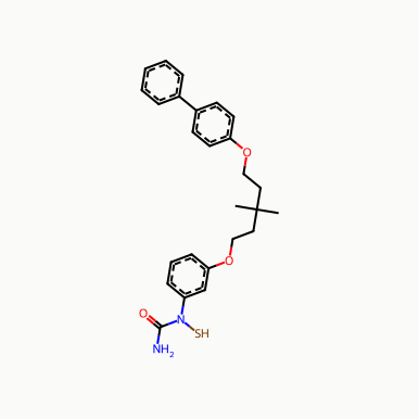 CC(C)(CCOc1ccc(-c2ccccc2)cc1)CCOc1cccc(N(S)C(N)=O)c1